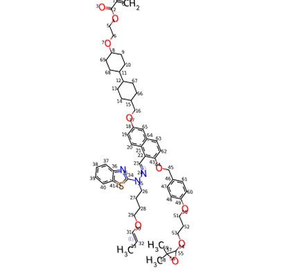 C=C(C(=O)OCCOC1CCC(C2CCC(COc3ccc4c(/C=N/N(CCCCO/C=C/C)c5nc6ccccc6s5)c(OCc5ccc(OCCCOC6OC6(C)C)cc5)ccc4c3)CC2)CC1)C(F)(F)F